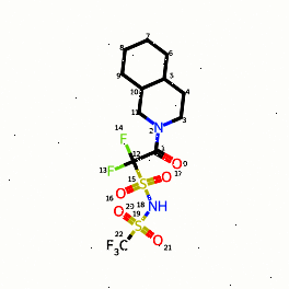 O=C(N1CCC2CCCCC2C1)C(F)(F)S(=O)(=O)NS(=O)(=O)C(F)(F)F